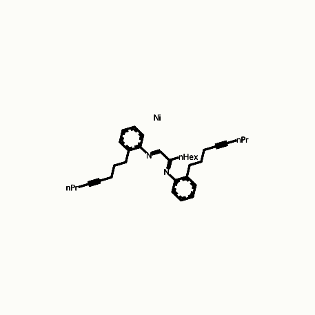 CCCC#CCCCc1ccccc1N=CC(CCCCCC)=Nc1ccccc1CCCC#CCCC.[Ni]